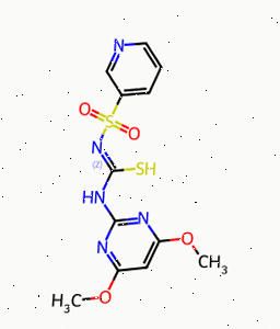 COc1cc(OC)nc(N/C(S)=N/S(=O)(=O)c2cccnc2)n1